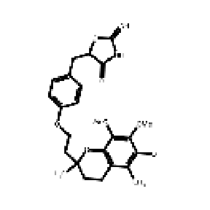 COc1c(O)c(C)c2c(c1OC)OC(C)(CCOc1ccc(CC3SC(=N)NC3=O)cc1)CC2